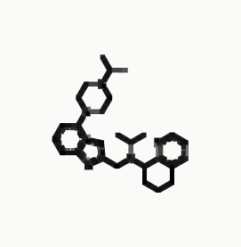 CC(C)N1CCN(c2cccc3nc(CN(C(C)C)C4CCCc5cccnc54)cn23)CC1